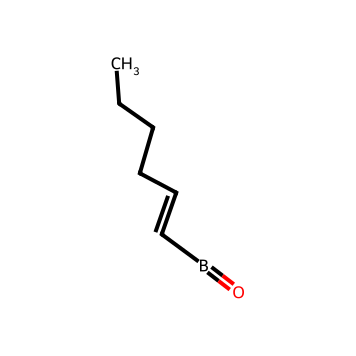 CCCC/C=C/B=O